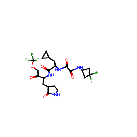 O=C(NC1CC(F)(F)C1)C(=O)NC(CC1CC1)C(=O)NC(CC1CCNC1=O)C(=O)COC(F)(F)F